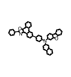 c1ccc(-c2nc3c4ccc(-c5ccc(N(c6ccc7ccccc7c6)c6ccc7c(c6)oc6ccccc67)cc5)cc4c4ccccc4c3o2)cc1